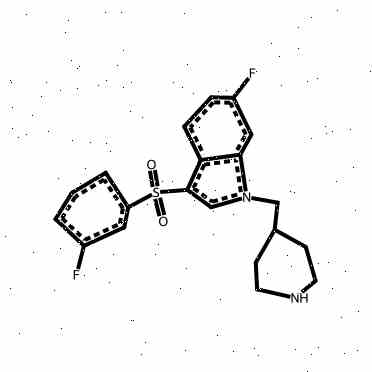 O=S(=O)(c1cccc(F)c1)c1cn(CC2CCNCC2)c2cc(F)ccc12